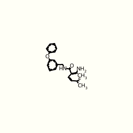 C/C(N)=C(\C=C/C(C)F)C(=O)NCc1cccc(Oc2ccccc2)c1